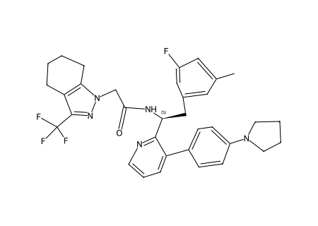 Cc1cc(F)cc(C[C@H](NC(=O)Cn2nc(C(F)(F)F)c3c2CCCC3)c2ncccc2-c2ccc(N3CCCC3)cc2)c1